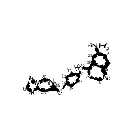 Nc1ccc2ncnc(Nc3ccc(Oc4cc5ncnn5cn4)cc3)c2c1